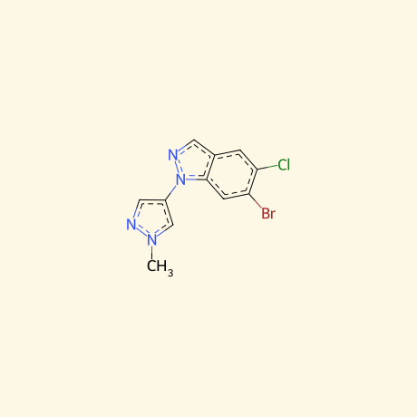 Cn1cc(-n2ncc3cc(Cl)c(Br)cc32)cn1